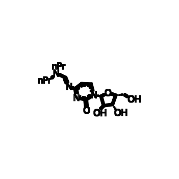 CCCN(/C=N/c1ccn([C@@H]2O[C@H](CO)[C@H](O)C2O)c(=O)n1)CCC